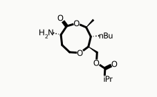 CCCC[C@H]1[C@H](C)OC(=O)[C@@H](N)CCO[C@@H]1COC(=O)C(C)C